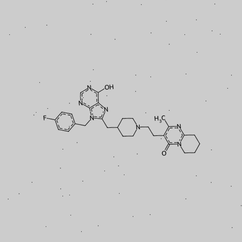 Cc1nc2n(c(=O)c1CCN1CCC(Cc3nc4c(O)ncnc4n3Cc3ccc(F)cc3)CC1)CCCC2